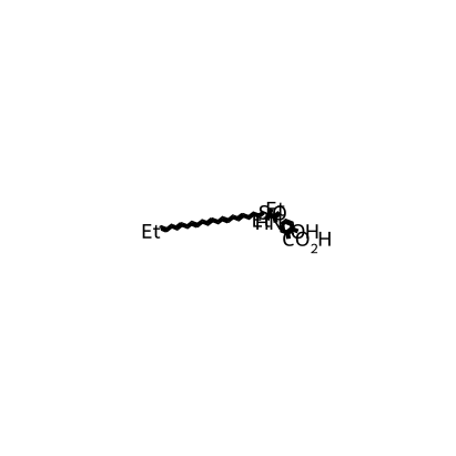 CCC=CCC=CCC=CCC=CCC=CCC=CCCCSC(CC)(CC)C(=O)Nc1ccc(O)c(C(=O)O)c1